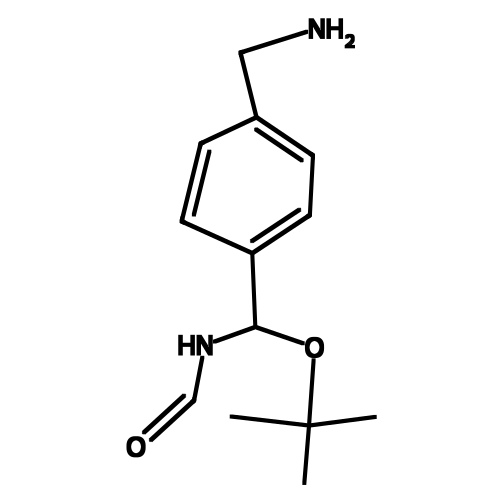 CC(C)(C)OC(NC=O)c1ccc(CN)cc1